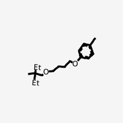 CCC(C)(CC)COCCCCOc1ccc(C)cc1